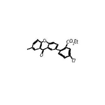 CCOC(=O)c1cc(Cl)ccc1-c1ccc2oc3ccc(C)cc3c(=O)c2c1